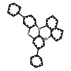 Brc1cccc2cccc(N3c4ccc(-c5ccccc5)cc4Sc4cc(-c5ccccc5)ccc43)c12